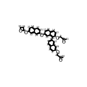 c1cc2ccc(-c3c(OCC4CO4)ccc4ccc(Oc5ccc6ccc(OC7CCO7)cc6c5)cc34)cc2cc1OCC1CO1